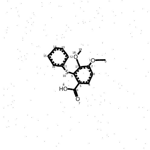 COc1ccc(C(=O)O)c(Sc2ccccc2)c1OC